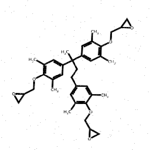 Cc1cc(CCC(C)(c2cc(C)c(OCC3CO3)c(C)c2)c2cc(C)c(OCC3CO3)c(C)c2)cc(C)c1OCC1CO1